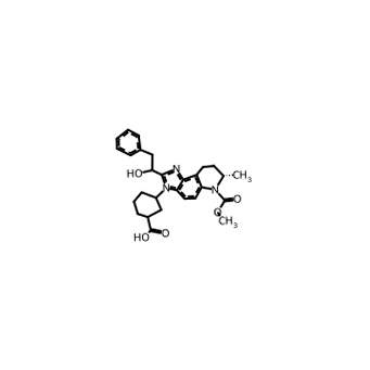 COC(=O)N1c2ccc3c(nc(C(O)Cc4ccccc4)n3C3CCCC(C(=O)O)C3)c2CC[C@@H]1C